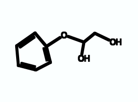 OCC(O)Oc1ccccc1